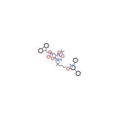 CC(C)(CCCCOc1cc(-c2ccccc2)cc(-c2ccccc2)n1)CNC(=O)C(CN(C=O)OCC1c2ccccc2-c2ccccc21)N(C=O)OC(C)(C)C